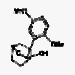 COc1ccc(OC)c(C2(O)CN3CCC2CC3)c1